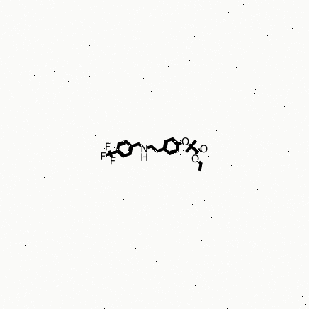 CCOC(=O)C(C)(C)Oc1ccc(CCNCc2ccc(C(F)(F)F)cc2)cc1